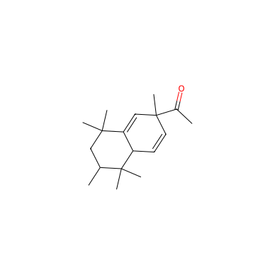 CC(=O)C1(C)C=CC2C(=C1)C(C)(C)CC(C)C2(C)C